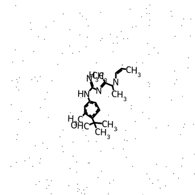 C\C=C/N=C(C)\C(C)=N\C(=N/C)Nc1ccc(C(C)(C)C=O)c(C)c1